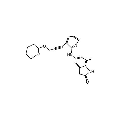 Cc1cc(Nc2ncccc2C#CCOC2CCCCO2)cc2c1NC(=O)C2